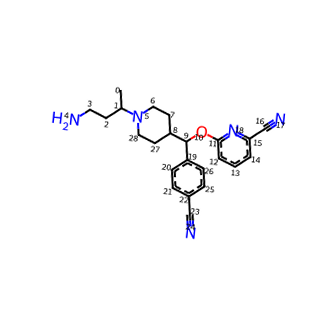 CC(CCN)N1CCC(C(Oc2cccc(C#N)n2)c2ccc(C#N)cc2)CC1